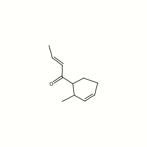 CC=CC(=O)C1CCC=CC1C